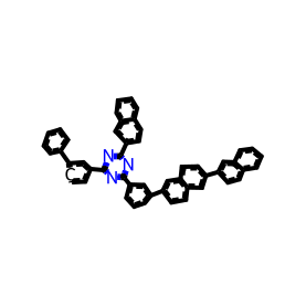 c1ccc(-c2cccc(-c3nc(-c4cccc(-c5ccc6cc(-c7ccc8ccccc8c7)ccc6c5)c4)nc(-c4ccc5ccccc5c4)n3)c2)cc1